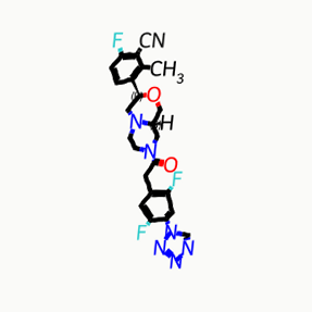 Cc1c([C@@H]2CN3CCN(C(=O)Cc4cc(F)c(-n5cnnn5)cc4F)C[C@H]3CO2)ccc(F)c1C#N